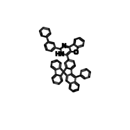 c1ccc(-c2cccc(C3N=c4c(oc5ccccc45)=C(c4ccc5c(c4)C4(c6ccccc6-c6ccccc64)c4cc6ccccc6c(-c6ccccc6)c4-5)N3)c2)cc1